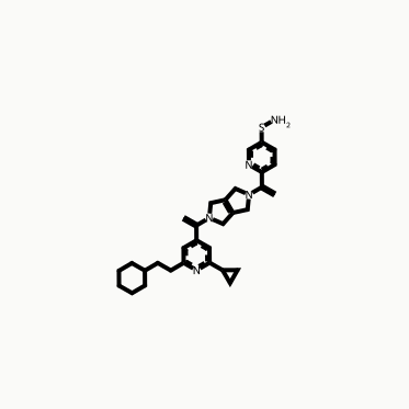 C=C(c1cc(CCC2CCCCC2)nc(C2CC2)c1)N1CC2=C(C1)CN(C(=C)c1ccc(SN)cn1)C2